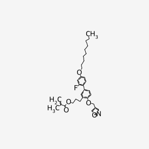 C=C(C)C(=O)OCCCc1cc(-c2ccc(OCCCCCCCCCC)cc2F)ccc1OCc1cnoc1